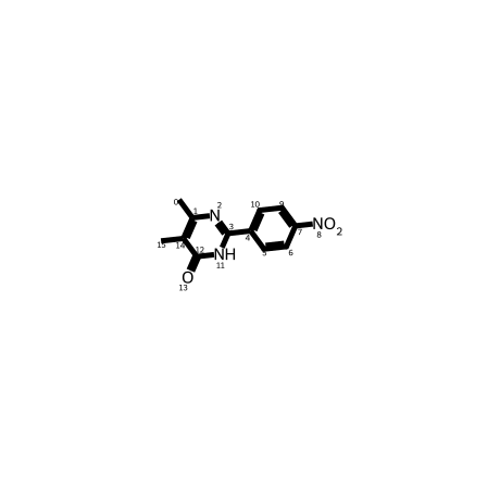 Cc1nc(-c2ccc([N+](=O)[O-])cc2)[nH]c(=O)c1C